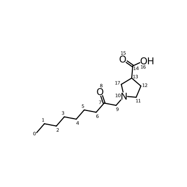 CCCCCCCC(=O)CN1CCC(C(=O)O)C1